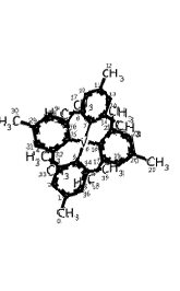 Cc1cc(C)[c]([V]([c]2c(C)cc(C)cc2C)([c]2c(C)cc(C)cc2C)[c]2c(C)cc(C)cc2C)c(C)c1